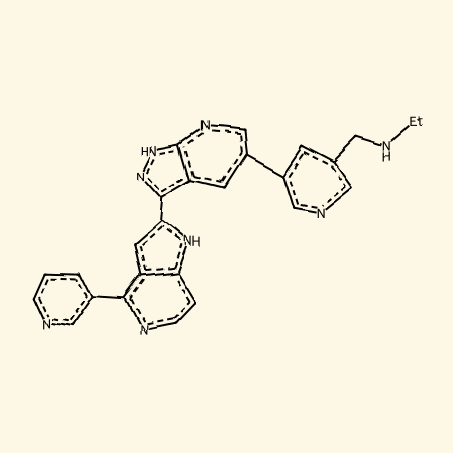 CCNCc1cncc(-c2cnc3[nH]nc(-c4cc5c(-c6cccnc6)nccc5[nH]4)c3c2)c1